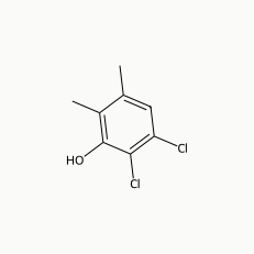 Cc1cc(Cl)c(Cl)c(O)c1C